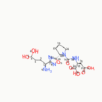 N[C@@H](CCC(O)O)c1noc([C@@H]2CCCN2C(=O)N[C@@H](CC(=O)O)C(=O)O)n1